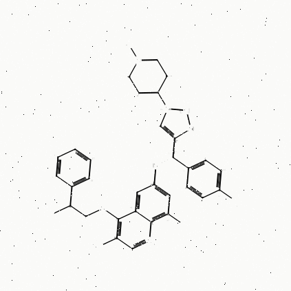 CC(CNc1c(C#N)cnc2c(Cl)cc(N[C@H](C3=CN(C4CCN(C(C)(C)C)CC4)NN3)c3ccc(Cl)cc3)cc12)c1ccccc1